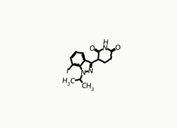 CC(C)n1nc(C2CCC(=O)NC2=O)c2cccc(I)c21